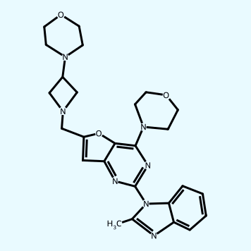 Cc1nc2ccccc2n1-c1nc(N2CCOCC2)c2oc(CN3CC(N4CCOCC4)C3)cc2n1